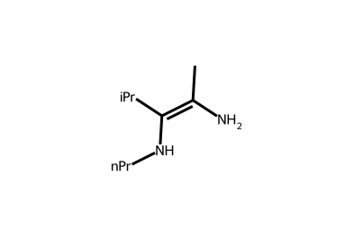 CCCN/C(=C(/C)N)C(C)C